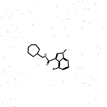 Cn1cc(C(=O)NCC2CCCCCC2)c2c(Br)ccnc21